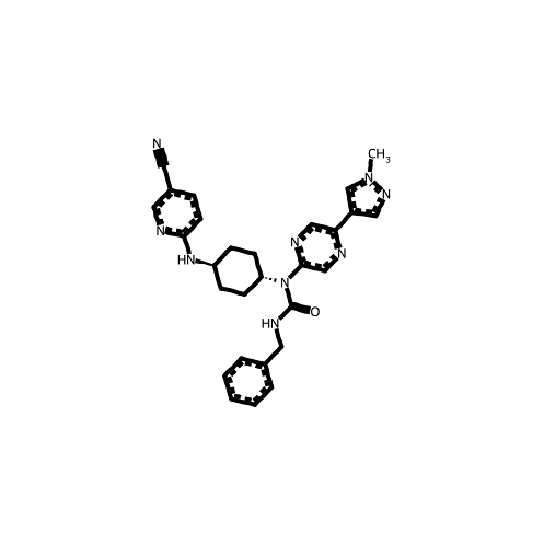 Cn1cc(-c2cnc(N(C(=O)NCc3ccccc3)[C@H]3CC[C@H](Nc4ccc(C#N)cn4)CC3)cn2)cn1